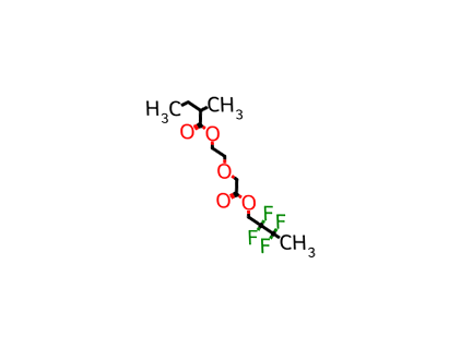 CCC(C)C(=O)OCCOCC(=O)OCC(F)(F)C(C)(F)F